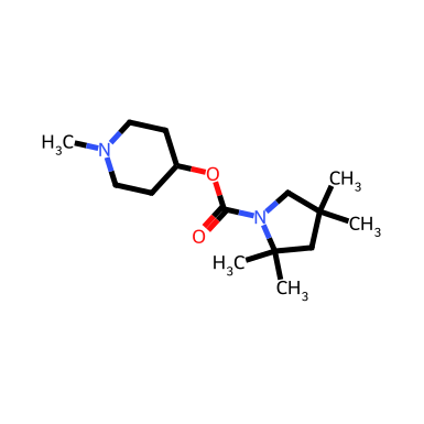 CN1CCC(OC(=O)N2CC(C)(C)CC2(C)C)CC1